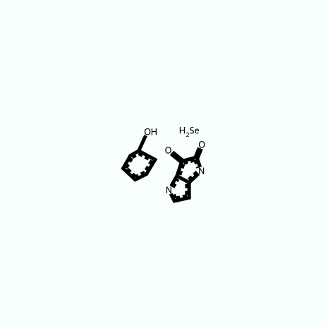 O=c1nc2ccnc-2c1=O.Oc1ccccc1.[SeH2]